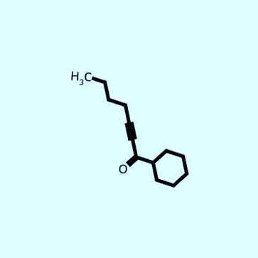 CCCCC#CC(=O)C1CCCCC1